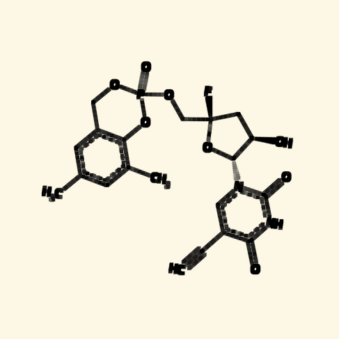 C#Cc1cn([C@@H]2O[C@](F)(COP3(=O)OCc4cc(C)cc(C)c4O3)C[C@H]2O)c(=O)[nH]c1=O